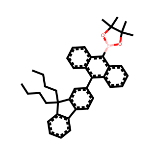 CCCCC1(CCCC)c2ccccc2-c2ccc(-c3c4ccccc4c(B4OC(C)(C)C(C)(C)O4)c4ccccc34)cc21